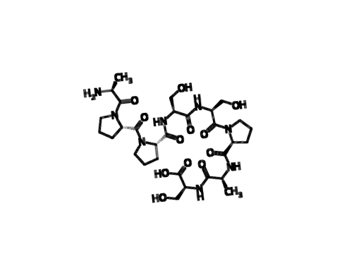 C[C@H](N)C(=O)N1CCC[C@H]1C(=O)N1CCC[C@H]1C(=O)N[C@@H](CO)C(=O)N[C@@H](CO)C(=O)N1CCC[C@H]1C(=O)N[C@@H](C)C(=O)N[C@@H](CO)C(=O)O